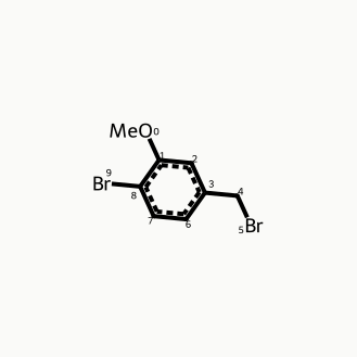 COc1cc(CBr)ccc1Br